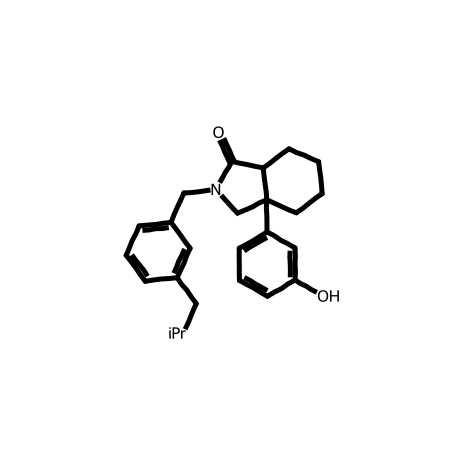 CC(C)Cc1cccc(CN2CC3(c4cccc(O)c4)CCCCC3C2=O)c1